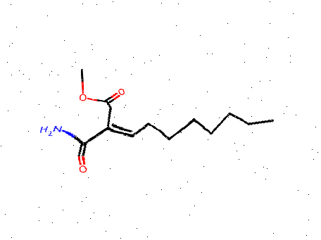 CCCCCCCC=C(C(N)=O)C(=O)OC